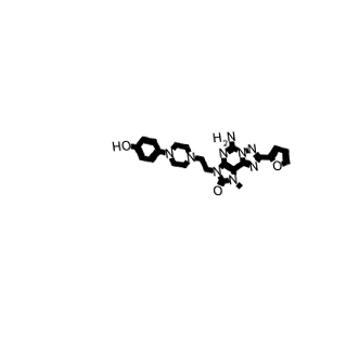 Cn1c(=O)n(CCN2CCN(c3ccc(O)cc3)CC2)c2nc(N)n3nc(-c4ccco4)nc3c21